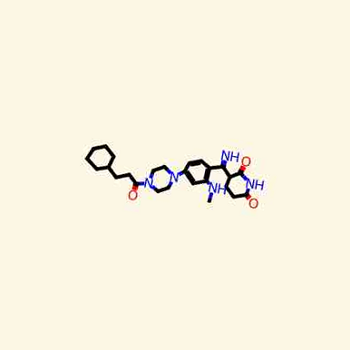 CNc1cc(N2CCN(C(=O)CCC3CCCCC3)CC2)ccc1C(=N)C1CCC(=O)NC1=O